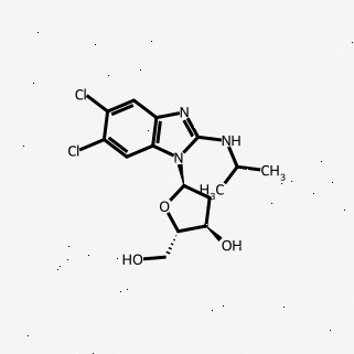 CC(C)Nc1nc2cc(Cl)c(Cl)cc2n1[C@H]1C[C@@H](O)[C@H](CO)O1